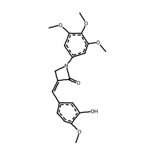 COc1ccc(/C=C2/CN(c3cc(OC)c(OC)c(OC)c3)C2=O)cc1O